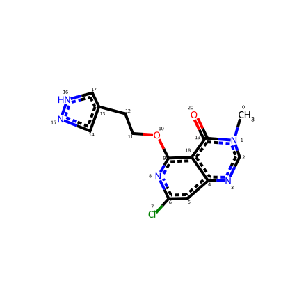 Cn1cnc2cc(Cl)nc(OCCc3cn[nH]c3)c2c1=O